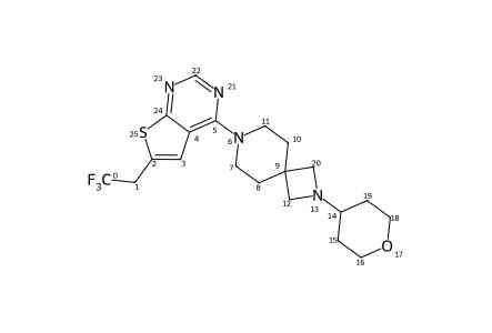 FC(F)(F)Cc1cc2c(N3CCC4(CC3)CN(C3CCOCC3)C4)ncnc2s1